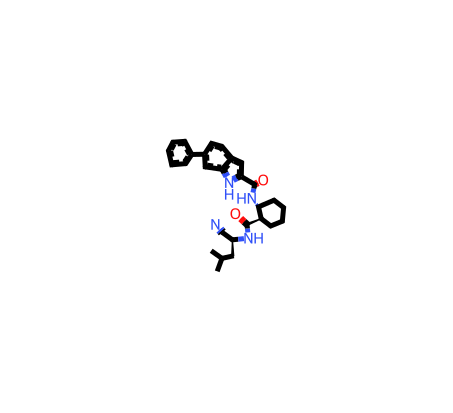 CC(C)C[C@@H](C#N)NC(=O)[C@@H]1CCCC[C@@H]1NC(=O)c1cc2ccc(-c3ccccc3)cc2[nH]1